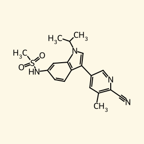 Cc1cc(-c2cn(C(C)C)c3cc(NS(C)(=O)=O)ccc23)cnc1C#N